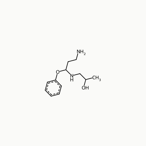 CC(O)CNC(CCN)Oc1ccccc1